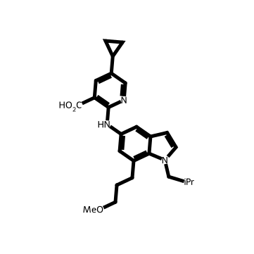 COCCCc1cc(Nc2ncc(C3CC3)cc2C(=O)O)cc2ccn(CC(C)C)c12